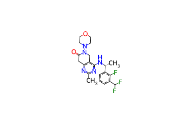 Cc1nc2c(c(N[C@H](C)c3cccc(C(F)F)c3F)n1)CN(N1CCOCC1)C(=O)C2